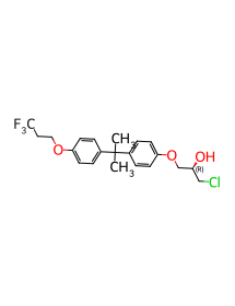 CC(C)(c1ccc(OCCC(F)(F)F)cc1)c1ccc(OC[C@@H](O)CCl)cc1